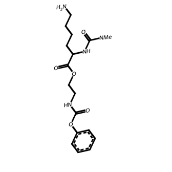 CNC(=O)NC(CCCCN)C(=O)OCCNC(=O)Oc1ccccc1